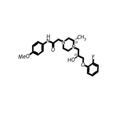 COc1ccc(NC(=O)CN2CCN(C[C@H](O)COc3ccccc3F)[C@@H](C)C2)cc1